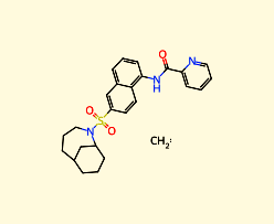 O=C(Nc1cccc2cc(S(=O)(=O)N3CCCC4CCCC3C4)ccc12)c1ccccn1.[CH2]